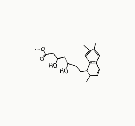 COC(=O)CC(O)CC(O)CCC1c2cc(C)c(C)cc2C=CC1C